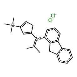 C[C](C)=[Zr+2]([C]1=CC([Si](C)(C)C)=CC1)[c]1cccc2c1Cc1ccccc1-2.[Cl-].[Cl-]